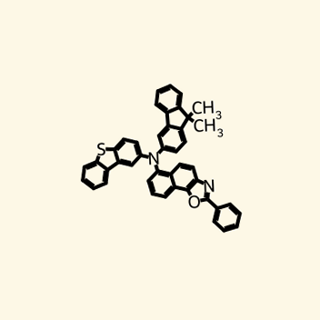 CC1(C)c2ccccc2-c2cc(N(c3ccc4sc5ccccc5c4c3)c3cccc4c3ccc3nc(-c5ccccc5)oc34)ccc21